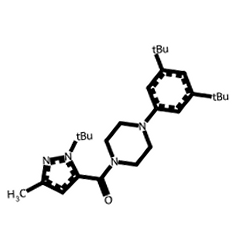 Cc1cc(C(=O)N2CCN(c3cc(C(C)(C)C)cc(C(C)(C)C)c3)CC2)n(C(C)(C)C)n1